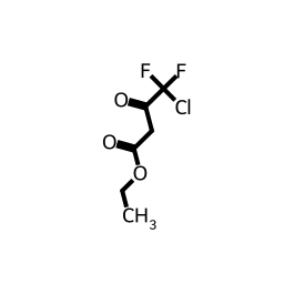 CCOC(=O)CC(=O)C(F)(F)Cl